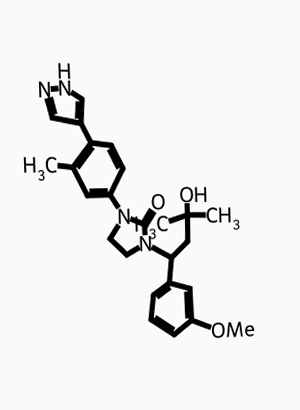 COc1cccc(C(CC(C)(C)O)N2CCN(c3ccc(-c4cn[nH]c4)c(C)c3)C2=O)c1